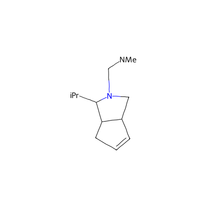 CNCN1CC2C=CCC2C1C(C)C